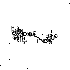 Cc1cnc(Nc2ccc(N3CCN(C(=O)CCCCCCNc4ccc5c(c4)C(=O)N(C4CCC(=O)NC4=O)C5=O)CC3)cc2)nc1Nc1cccc(S(=O)(=O)NC(C)(C)C)c1